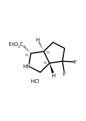 CCOC(=O)[C@H]1NC[C@@H]2[C@@H]1CCC2(F)F.Cl